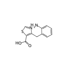 Nc1ccccc1Cc1ncsc1C(=O)O